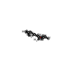 COc1cc(N=Nc2ccc(N=Nc3ccc4cc(S(=O)(=O)O)cc(S(=O)(=O)O)c4c3)c(C)c2)c(C)cc1N=Nc1c(S(=O)(=O)O)cc2cc(NC=O)ccc2c1O